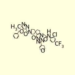 Cc1ncnc(C(=O)N2CCC3(CCc4c3c(=O)n3nc(C5=CCOCC5)nc3n4CC(=O)Nc3ccc(C(F)(F)F)cc3Cl)CC2)c1OCc1ccccc1